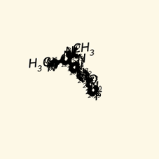 Cc1nn2cc(-c3cnn(C)c3)cc(-c3ccc(N4CCN(C(=O)Cc5ccc(F)cn5)CC4)nc3)c2c1C#N